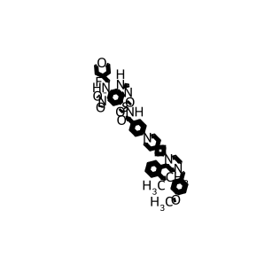 COc1ccc(CN2CCN(C3CC4(CCN(c5ccc(C(=O)NS(=O)(=O)c6cc([N+](=O)[O-])c(NCC7(F)CCOCC7)c7[nH]cnc67)cc5)CC4)C3)C(c3ccccc3C(C)C)C2)cc1